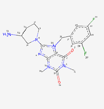 Cn1c(=O)c2c(nc(N3CCCC(N)C3)n2Cc2cc(F)cc(F)c2)n(C)c1=O